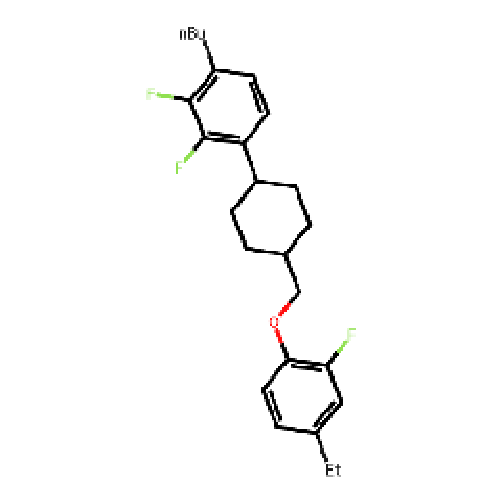 CCCCc1ccc(C2CCC(COc3ccc(CC)cc3F)CC2)c(F)c1F